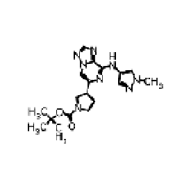 Cn1cc(Nc2nc([C@H]3CCN(C(=O)OC(C)(C)C)C3)cn3ncnc23)cn1